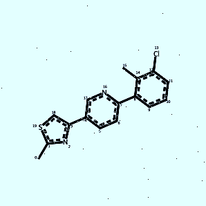 Cc1nc(-c2ccc(-c3cccc(Cl)c3C)nc2)cs1